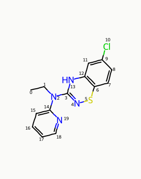 CCN(C1=NSc2ccc(Cl)cc2N1)c1ccccn1